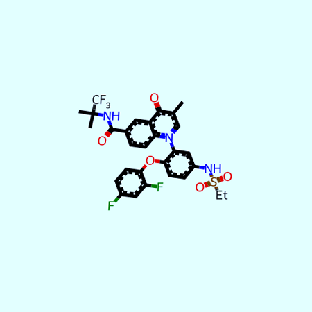 CCS(=O)(=O)Nc1ccc(Oc2ccc(F)cc2F)c(-n2cc(C)c(=O)c3cc(C(=O)NC(C)(C)C(F)(F)F)ccc32)c1